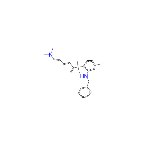 C=C(C=CC=CN(C)C)C(C)(C)c1ccc(C)cc1NCc1ccccc1